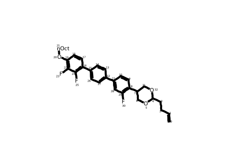 C=CCCC1OCC(c2ccc(-c3ccc(-c4ccc(OCCCCCCCC)c(F)c4F)cc3)cc2F)CO1